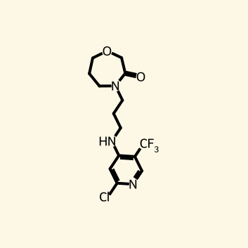 O=C1COCCCN1CCCNc1cc(Cl)ncc1C(F)(F)F